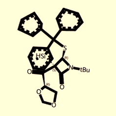 C[SiH](C)[C@@]1(C(=O)[C@H]2COCO2)C(=O)N(C(C)(C)C)[C@@H]1SC(c1ccccc1)(c1ccccc1)c1ccccc1